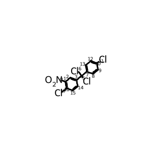 O=[N+]([O-])c1cc(C(Cl)(Cl)c2ccc(Cl)cc2)ccc1Cl